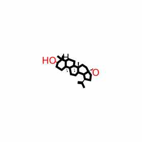 C=C(C)[C@@H]1CC[C@]2(C=O)CC[C@]3(C)C(CCC4[C@@]5(C)CC[C@H](O)C(C)(C)[C@@H]5CC[C@]43C)C12